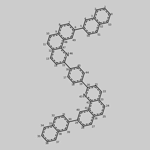 c1ccc2cc(-c3ccc4ccc5ccc(-c6ccc(-c7ccc8ccc9ccc(-c%10ccc%11ccccc%11c%10)cc9c8n7)cc6)nc5c4c3)ccc2c1